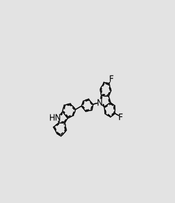 Fc1ccc2c(c1)c1cc(F)ccc1n2-c1ccc(-c2ccc3[nH]c4ccccc4c3c2)cc1